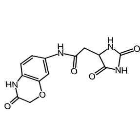 O=C(CC1NC(=O)NC1=O)Nc1ccc2c(c1)OCC(=O)N2